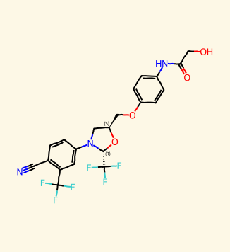 N#Cc1ccc(N2C[C@@H](COc3ccc(NC(=O)CO)cc3)O[C@@H]2C(F)(F)F)cc1C(F)(F)F